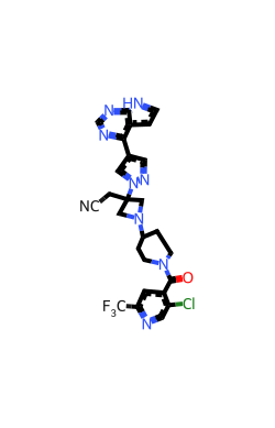 N#CCC1(n2cc(-c3ncnc4[nH]ccc34)cn2)CN(C2CCN(C(=O)c3cc(C(F)(F)F)ncc3Cl)CC2)C1